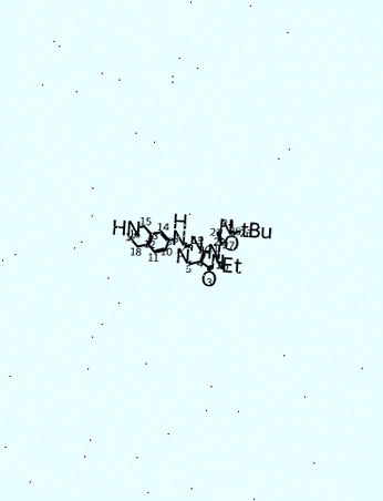 CCn1c(=O)c2cnc(Nc3ccc4c(c3)CNCC4)nc2n1-c1cnc(C(C)(C)C)o1